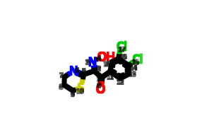 O=C(C(=NO)C1=NCCCS1)c1ccc(Cl)c(Cl)c1